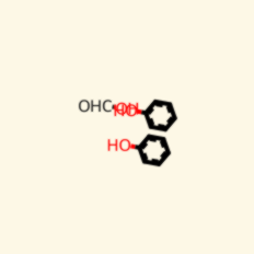 O=CO.Oc1ccccc1.Oc1ccccc1